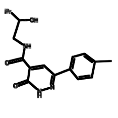 Cc1ccc(-c2cc(C(=O)NCC(O)C(C)C)c(=O)[nH]n2)cc1